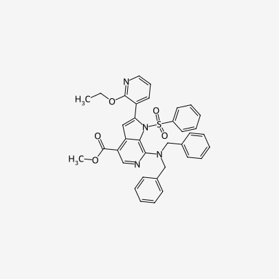 CCOc1ncccc1-c1cc2c(C(=O)OC)cnc(N(Cc3ccccc3)Cc3ccccc3)c2n1S(=O)(=O)c1ccccc1